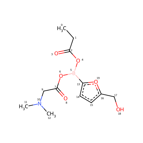 CCC(=O)OB(OC(=O)CN(C)C)c1ccc(CO)o1